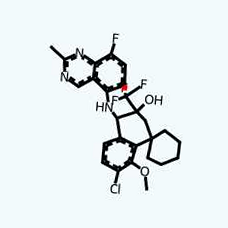 COc1c(Cl)ccc2c1C1(CCCCC1)CC(O)(C(F)(F)F)C2Nc1ccc(F)c2nc(C)ncc12